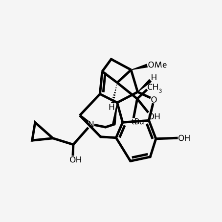 CO[C@@]12CC(=C3C4Cc5ccc(O)c6c5[C@@]3(CCN4C(O)C3CC3)[C@H]1O6)[C@@H]2C(C)(O)C(C)(C)C